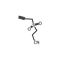 C#CCS(=O)(=O)CCC#N